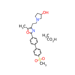 CC(=O)O.Cc1oc(-c2ccc(-c3ccc(S(C)(=O)=O)cc3)cc2)nc1CCN1CC[C@@H](O)C1